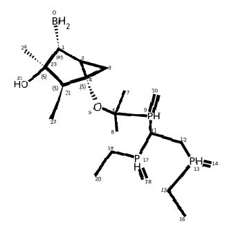 B[C@@H]1C2C[C@@]2(OC(C)(C)[PH](=C)C(C[PH](=C)CC)[PH](=C)CC)[C@@H](C)[C@@]1(C)O